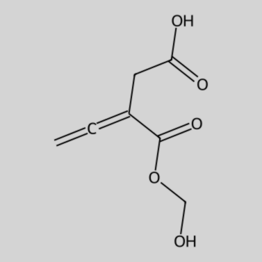 C=C=C(CC(=O)O)C(=O)OCO